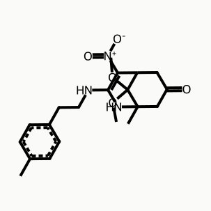 COC1(OC)C2CC(=O)CC1(C)NC(NCCc1ccc(C)cc1)=C2[N+](=O)[O-]